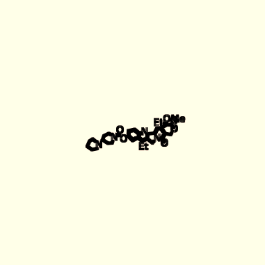 CCc1c2c(nc3ccc(OC(=O)N4CCC(N5CCCCC5)CC4)cc13)-c1cc3c(c(=O)n1C2)COC(=O)C3(CC)OC